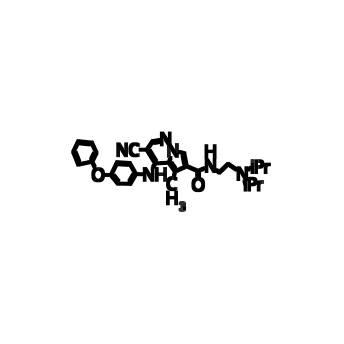 Cc1c(C(=O)NCCN(C(C)C)C(C)C)cn2ncc(C#N)c(Nc3ccc(Oc4ccccc4)cc3)c12